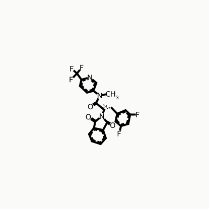 CN(C(=O)[C@H](Cc1cc(F)cc(F)c1)N1C(=O)c2ccccc2C1=O)c1ccc(C(F)(F)F)nc1